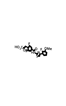 CO/C(=C\c1c(F)cc(C(=O)Nc2nc(-c3cccc(OC)c3F)cs2)cc1F)C(=O)O